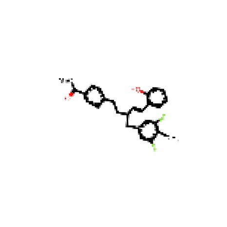 COC(=O)c1ccc(CCC(/C=C/c2ccccc2O)Cc2cc(F)c(C)c(F)c2)cc1